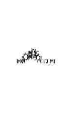 CCOC(=O)C1CCc2c(sc3ncnc(Nc4cccc(O)c4)c23)C1